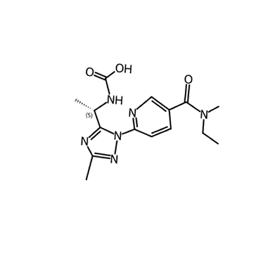 CCN(C)C(=O)c1ccc(-n2nc(C)nc2[C@H](C)NC(=O)O)nc1